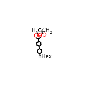 C=C(C)C(=O)OCC(CO)c1ccc(C2CCC(CCCCCC)CC2)cc1